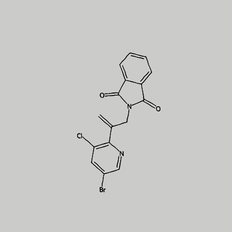 C=C(CN1C(=O)c2ccccc2C1=O)c1ncc(Br)cc1Cl